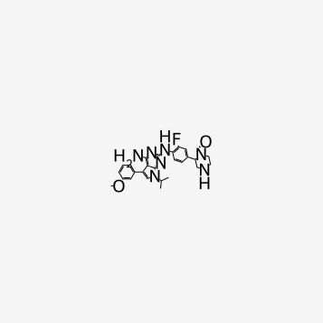 COc1cccc(-c2cn(C(C)C)c3nc(Nc4ccc(C5CNCCN5C=O)cc4F)nc(N)c23)c1